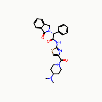 CN(C)C1CCN(C(=O)c2csc(NC(=O)[C@@H](c3ccccc3)N3Cc4ccccc4C3=O)n2)CC1